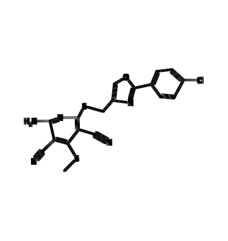 CSc1c(C#N)c(N)nc(SCc2coc(-c3ccc(Cl)cc3)n2)c1C#N